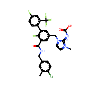 Cc1cc(CNC(=O)c2cc(Cn3ccn(C)/c3=N/C(=O)O)cc(-c3ccc(F)cc3C(F)(F)F)c2F)ccc1Cl